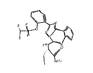 CC[C@H](Nc1nc2ccccc2c2nc(-c3ccccc3OC(F)(F)C(F)F)nn12)C(N)=O